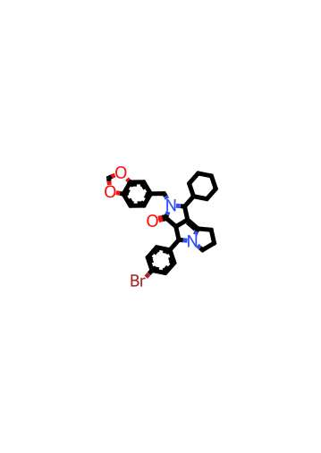 O=C1C2C(=C3CCCN3C2c2ccc(Br)cc2)C(C2CCCCC2)N1Cc1ccc2c(c1)OCO2